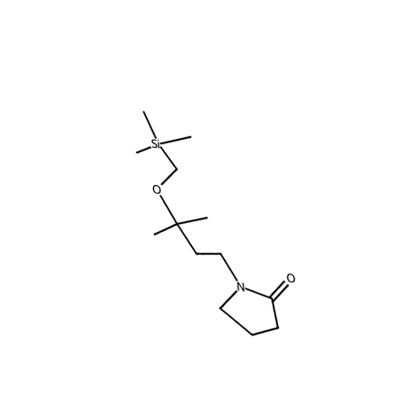 CC(C)(CCN1CCCC1=O)OC[Si](C)(C)C